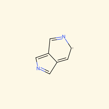 [C]1C=C2C=NC=C2C=N1